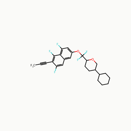 Fc1cc2cc(OC(F)(F)C3CCC(C4CCCCC4)CO3)cc(F)c2c(F)c1C#CC(F)(F)F